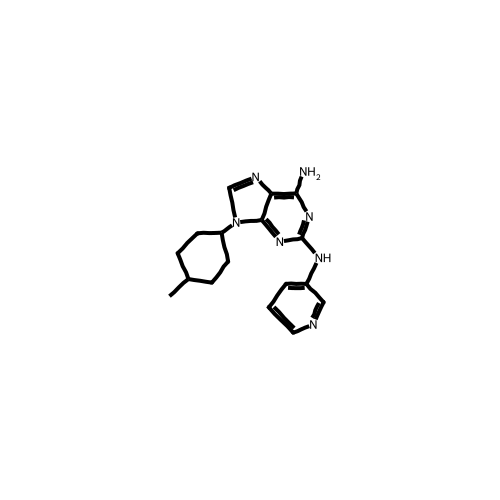 CC1CCC(n2cnc3c(N)nc(Nc4cccnc4)nc32)CC1